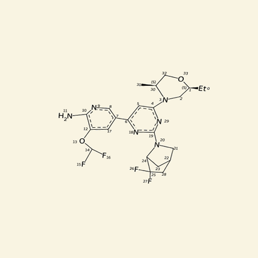 CC[C@H]1CN(c2cc(-c3cnc(N)c(OC(F)F)c3)nc(N3CC4CC3C(F)(F)C4)n2)[C@@H](C)CO1